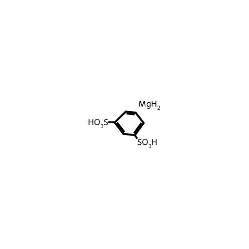 O=S(=O)(O)c1cccc(S(=O)(=O)O)c1.[MgH2]